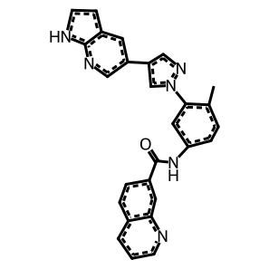 Cc1ccc(NC(=O)c2ccc3cccnc3c2)cc1-n1cc(-c2cnc3[nH]ccc3c2)cn1